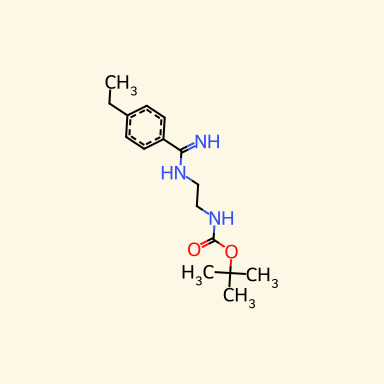 CCc1ccc(C(=N)NCCNC(=O)OC(C)(C)C)cc1